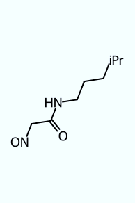 CC(C)CCCNC(=O)CN=O